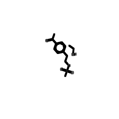 CC(=O)c1ccc(CCOS(C)(=O)=O)cc1.CCO